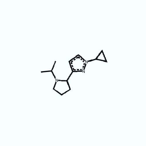 CC(C)N1CCCC1c1ccn(C2CC2)n1